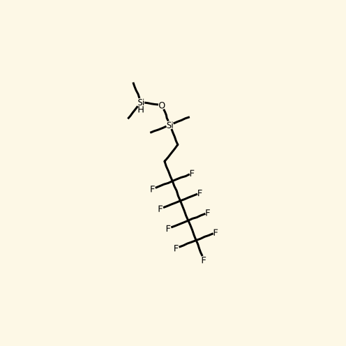 C[SiH](C)O[Si](C)(C)CCC(F)(F)C(F)(F)C(F)(F)C(F)(F)F